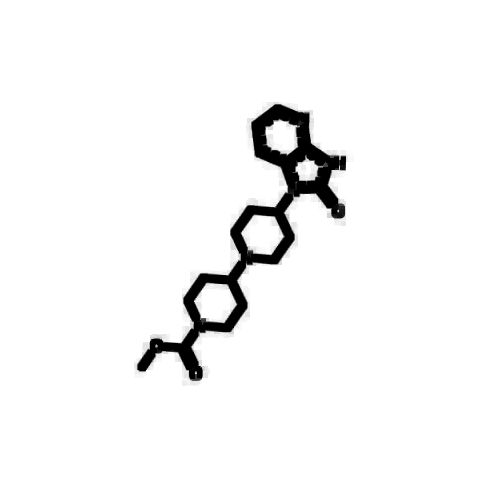 COC(=O)N1CCC(N2CCC(n3c(=O)[nH]c4ncccc43)CC2)CC1